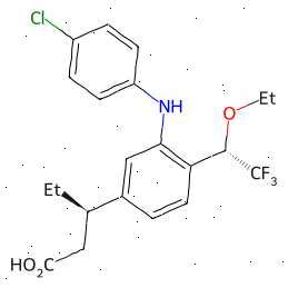 CCO[C@@H](c1ccc([C@H](CC)CC(=O)O)cc1Nc1ccc(Cl)cc1)C(F)(F)F